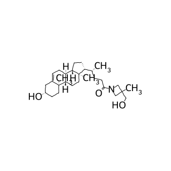 C[C@H](CCC(=O)N1CC(C)(CO)C1)[C@H]1CC[C@H]2[C@@H]3CC=C4C[C@@H](O)CC[C@]4(C)[C@H]3CC[C@]12C